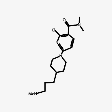 CNCCCC1CCN(c2ccc(C(=O)N(C)C)c(Cl)n2)CC1